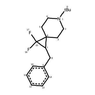 CC(C)(C)N1CCC2(CC1)C(Cc1ccccc1)C2(F)F